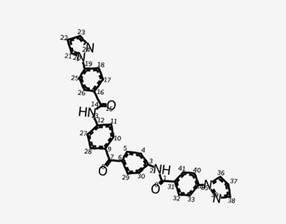 O=C(Nc1ccc(C(=O)c2ccc(NC(=O)c3ccc(-n4cccn4)cc3)cc2)cc1)c1ccc(-n2cccn2)cc1